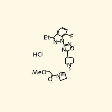 CCc1nn(-c2noc(C3CCN(C[C@@H]4CCN(C(=O)COC)C4)CC3)n2)c2c(F)cccc12.Cl